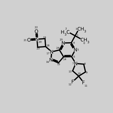 CC(C)(C)c1nc(N2CCC(F)(F)C2)c2cnn(C3CS(=O)(=O)C3)c2n1